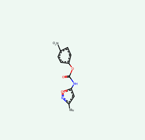 CC(C)(C)c1cc(NC(=O)Oc2ccc([N+](=O)[O-])cc2)on1